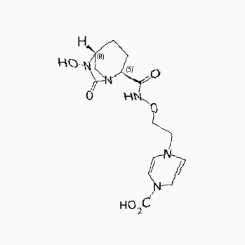 O=C(NOCCN1C=CCN(C(=O)O)C=C1)[C@@H]1CC[C@@H]2CN1C(=O)N2O